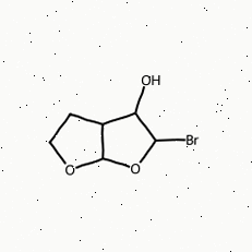 OC1C(Br)OC2OCCC21